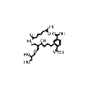 CCC(COCC(O)CO)C(O)CCCc1cc(C(=O)O)ccc1C(=O)O.O=C(O)CCCCC(=O)O